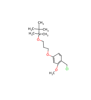 COc1cc(OCCCO[Si](C)(C)C(C)(C)C)ccc1CCl